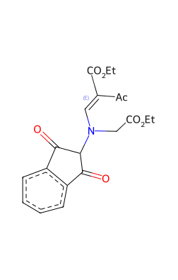 CCOC(=O)CN(/C=C(\C(C)=O)C(=O)OCC)C1C(=O)c2ccccc2C1=O